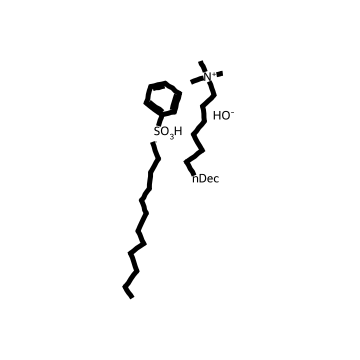 CCCCCCCCCCCCCCCC[N+](C)(C)C.O=S(=O)(O)c1ccccc1.[CH2]CCCCCCCCCCC.[OH-]